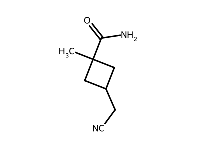 CC1(C(N)=O)CC(CC#N)C1